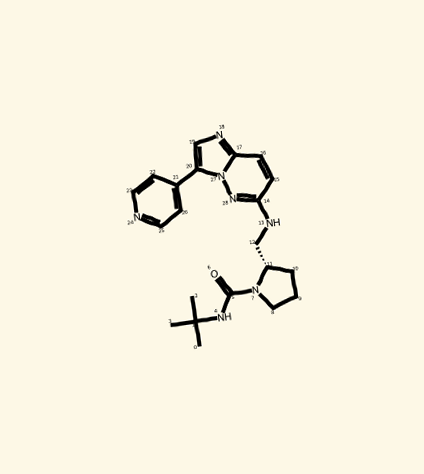 CC(C)(C)NC(=O)N1CCC[C@H]1CNc1ccc2ncc(-c3ccncc3)n2n1